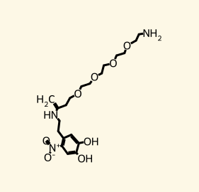 C=C(CCOCCOCCOCCOCCN)NCCc1cc(O)c(O)cc1[N+](=O)[O-]